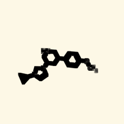 FC(F)(F)Oc1ccc(C2CNCC(N3C=CN(C4CC4)C3)C2)cc1